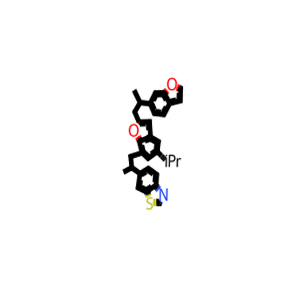 CC(C)c1cc(CC(C)c2ccc3ncsc3c2)c2oc(CC(C)c3ccc4ccoc4c3)cc2c1